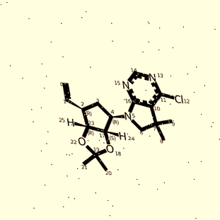 C=C[C@H]1C[C@@H](N2CC(C)(C)c3c(Cl)ncnc32)[C@@H]2OC(C)(C)O[C@@H]21